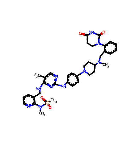 CN(Cc1ccccc1N1CCC(=O)NC1=O)C1CCN(c2ccc(Nc3ncc(C(F)(F)F)c(NCc4cccnc4N(C)S(C)(=O)=O)n3)cc2)CC1